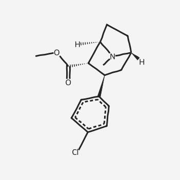 COC(=O)[C@@H]1[C@H]2CC[C@H](C[C@H]1c1ccc(Cl)cc1)N2C